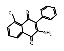 NC1=C(c2ccccc2)C(=O)c2c(Cl)cccc2C1=O